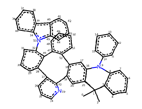 CC1(C)c2ccccc2N(c2ccccc2)c2cc3c(cc21)-c1ncccc1-c1cccc(-n2c4ccccc4c4ccccc42)c1-c1ccccc1-3